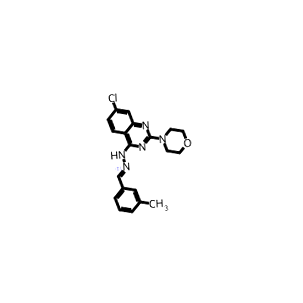 Cc1cccc(/C=N/Nc2nc(N3CCOCC3)nc3cc(Cl)ccc23)c1